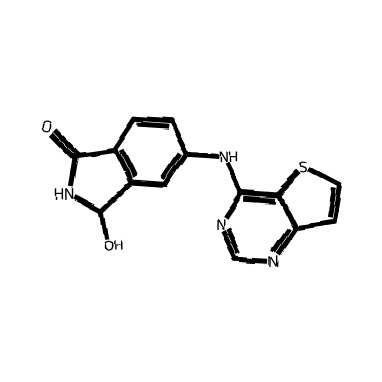 O=C1NC(O)c2cc(Nc3ncnc4ccsc34)ccc21